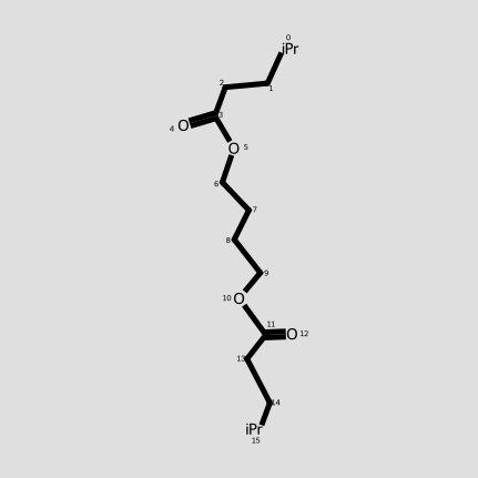 CC(C)CCC(=O)OCCCCOC(=O)CCC(C)C